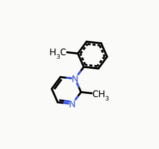 Cc1ccccc1N1C=CC=NC1C